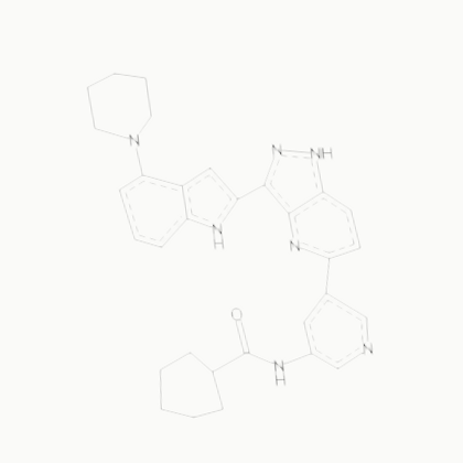 O=C(Nc1cncc(-c2ccc3[nH]nc(-c4cc5c(N6CCCCC6)cccc5[nH]4)c3n2)c1)C1CCCCC1